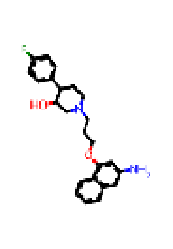 Nc1cc(OCCCN2CCC(c3ccc(F)cc3)C(O)C2)c2ccccc2c1